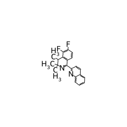 CC1c2c(ccc(F)c2F)C(c2ccc3ccccc3n2)=NC1(C)C